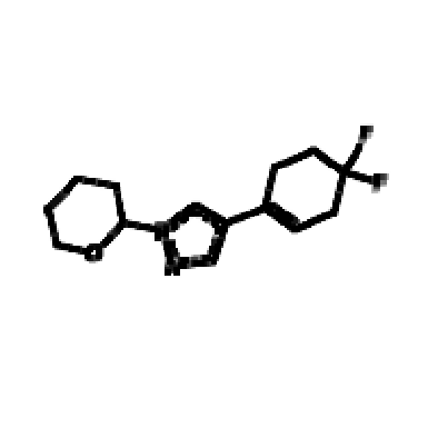 FC1(F)CC=C(c2cnn(C3CCCCO3)c2)CC1